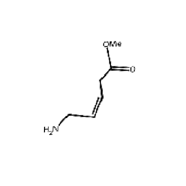 COC(=O)C/C=C\CN